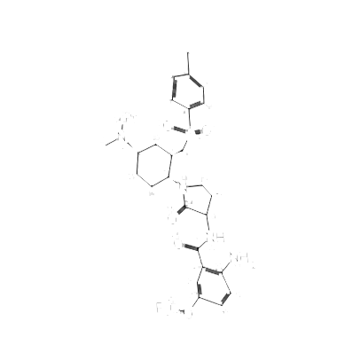 Cc1ccc(S(=O)(=O)C[C@@H]2C[C@H](N(C)C(C)C)CC[C@@H]2N2CCC(NC(=O)c3cc(OC(F)(F)F)ccc3N)C2=O)cc1